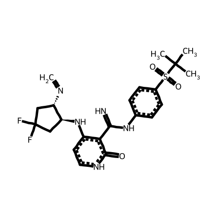 C=N[C@H]1CC(F)(F)C[C@@H]1Nc1cc[nH]c(=O)c1C(=N)Nc1ccc(S(=O)(=O)C(C)(C)C)cc1